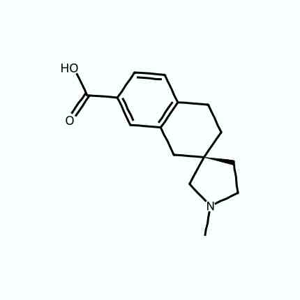 CN1CC[C@@]2(CCc3ccc(C(=O)O)cc3C2)C1